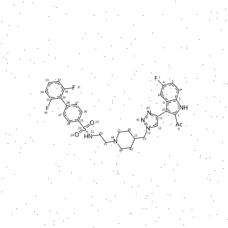 CC(=O)c1[nH]c2ccc(F)cc2c1-c1cn(CC2CCN(CCNS(=O)(=O)c3ccc(-c4c(F)cccc4F)cc3)CC2)nn1